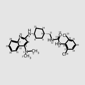 CN(C)c1cc(N[C@H]2CC[C@@H](CNC(=O)Nc3c(Cl)cccc3Cl)CC2)nc2ccccc12